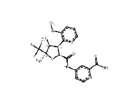 COc1cccnc1[C@H]1[C@@H](C(=O)Nc2ccnc(C(N)=O)c2)O[C@@](C)(C(F)(F)F)[C@H]1C